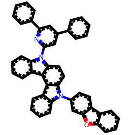 c1ccc(-c2cc(-c3ccccc3)nc(-n3c4ccccc4c4c5c6ccccc6n(-c6ccc7c(c6)oc6ccccc67)c5ccc43)c2)cc1